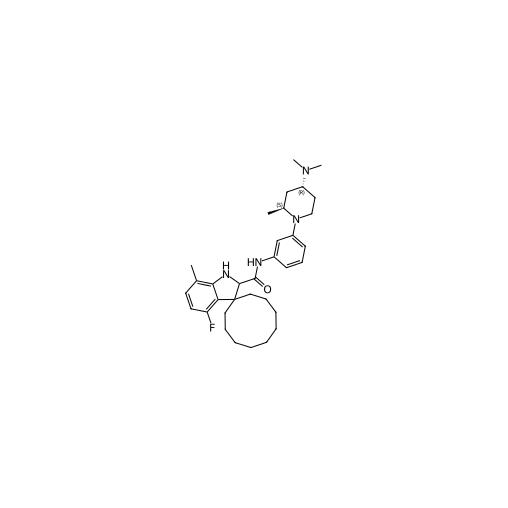 Cc1ccc(F)c2c1NC(C(=O)Nc1cccc(N3CC[C@@H](N(C)C)C[C@@H]3C)c1)C21CCCCCCCCC1